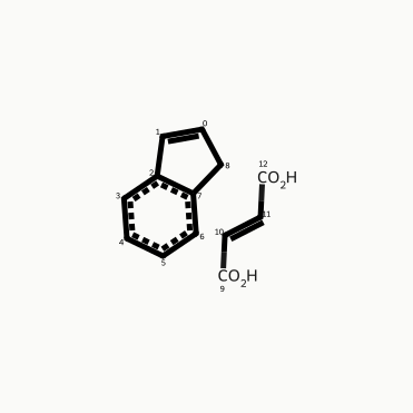 C1=Cc2ccccc2C1.O=C(O)C=CC(=O)O